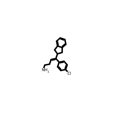 NCCC=C(c1ccc(Cl)cc1)C1Cc2ccccc2C1